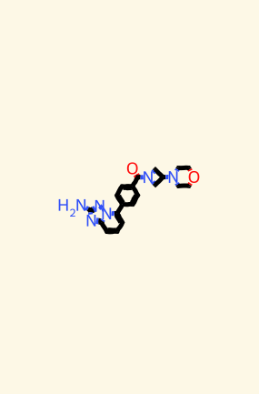 Nc1nc2cccc(-c3ccc(C(=O)N4CC(N5CCOCC5)C4)cc3)n2n1